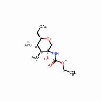 CC(=O)OC[C@H]1OC[C@@](Br)(NC(=O)OCC(Cl)(Cl)Cl)[C@@H](OC(C)=O)[C@@H]1OC(C)=O